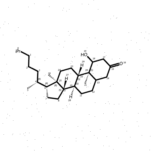 CC(C)CCC[C@@H](C)[C@H]1CC[C@H]2[C@@H]3CCC4CC(=O)CC(O)[C@]4(C)[C@H]3CC[C@]12C